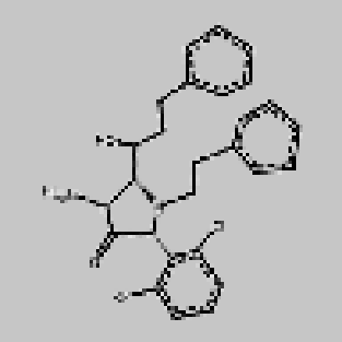 O=C(O)N1C(=O)[C@@H](c2c(Cl)cccc2Cl)N(CCc2ccccc2)[C@@H]1[C@@H](O)CCc1ccccc1